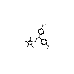 CSc1ccc(P(CCp2c(C)c(C)c(C)c2C)c2ccc(SC)cc2)cc1